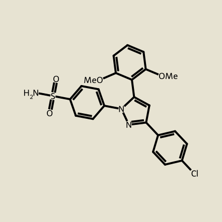 COc1cccc(OC)c1-c1cc(-c2ccc(Cl)cc2)nn1-c1ccc(S(N)(=O)=O)cc1